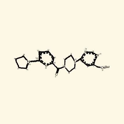 CC(C)COc1cc(N2CCN(C(=O)c3cccc(N4CCCC4)n3)CC2)ncn1